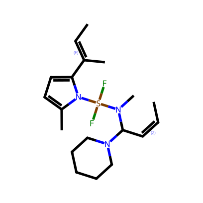 C/C=C\C(N1CCCCC1)N(C)S(F)(F)n1c(C)ccc1/C(C)=C/C